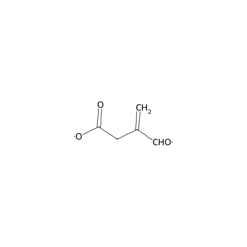 C=C([C]=O)CC([O])=O